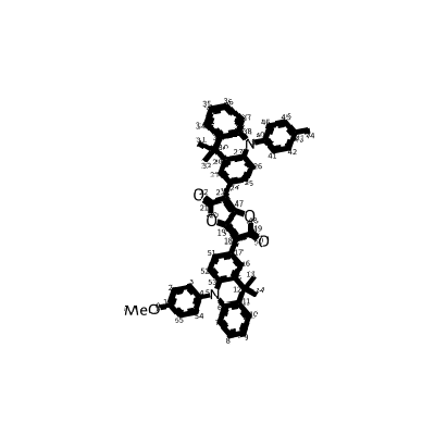 COc1ccc(N2c3ccccc3C(C)(C)c3cc(C4=C5OC(=O)C(c6ccc7c(c6)C(C)(C)c6ccccc6N7c6ccc(C)cc6)=C5OC4=O)ccc32)cc1